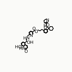 O=C(OCCCc1cccc(C2(C(=O)O[C@H]3CN4CCC3CC4)CCCCC2)c1)c1ccc(CNC[C@H](O)c2ccc(O)c3[nH]c(=O)ccc23)nc1